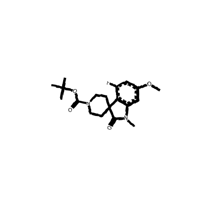 COc1cc(F)c2c(c1)N(C)C(=O)C21CCN(C(=O)OC(C)(C)C)CC1